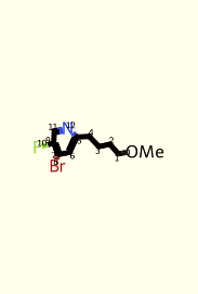 COCCCCc1cc(Br)c(F)cn1